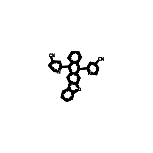 N#Cc1ccnc(-c2c3ccccc3c(-c3cc(C#N)ccn3)c3cc4c(cc23)oc2ccccc24)c1